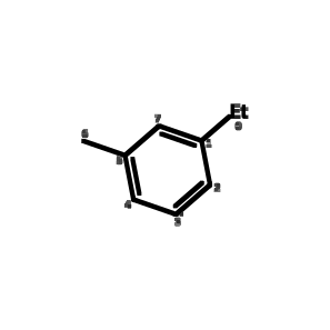 CCc1c[c]cc(C)c1